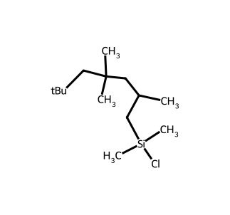 CC(CC(C)(C)CC(C)(C)C)C[Si](C)(C)Cl